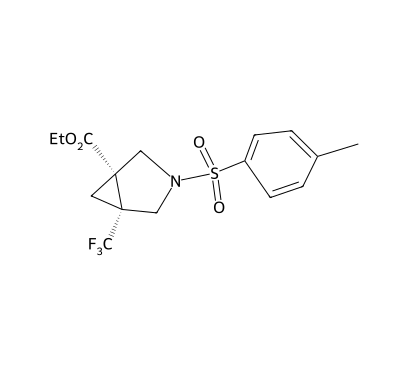 CCOC(=O)[C@]12CN(S(=O)(=O)c3ccc(C)cc3)C[C@@]1(C(F)(F)F)C2